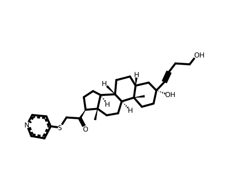 C[C@]12CC[C@](O)(C#CCCO)C[C@H]1CC[C@@H]1[C@@H]2CC[C@]2(C)[C@@H](C(=O)CSc3ccncc3)CC[C@@H]12